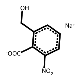 O=C([O-])c1c(CO)cccc1[N+](=O)[O-].[Na+]